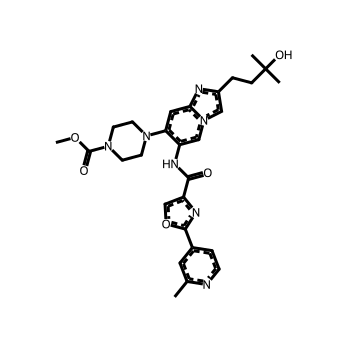 COC(=O)N1CCN(c2cc3nc(CCC(C)(C)O)cn3cc2NC(=O)c2coc(-c3ccnc(C)c3)n2)CC1